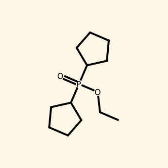 CCOP(=O)(C1CCCC1)C1CCCC1